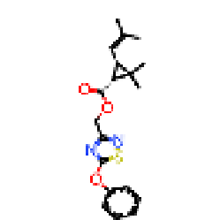 CC(C)=C[C@@H]1[C@@H](C(=O)OCc2nsc(Oc3ccccc3)n2)C1(C)C